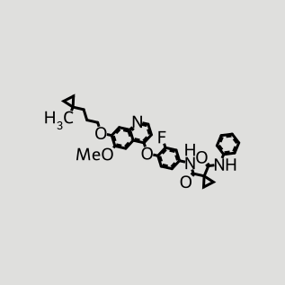 COc1cc2c(Oc3ccc(NC(=O)C4(C(=O)Nc5ccccc5)CC4)cc3F)ccnc2cc1OCCCC1(C)CC1